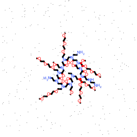 CCN(CCOCCOCCOC)C(=O)CN(CCOC)C(=O)CN(CCOCCOCCOC)C(=O)CN(CCN)C(=O)CN(CCOCCOCCOC)C(=O)CN(CCOC)C(=O)CN(CCOCCOCCOC)C(=O)CN(CCN)C(=O)CN(CCOCCOCCOC)C(=O)CN(CCOC)C(=O)CN(CCOCCOCCOC)C(=O)CNCCN